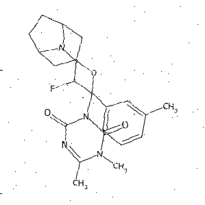 Cc1cccc(COC2CC3CCC(C2)N3CC(F)Cn2c(=O)nc(C)n(C)c2=O)c1